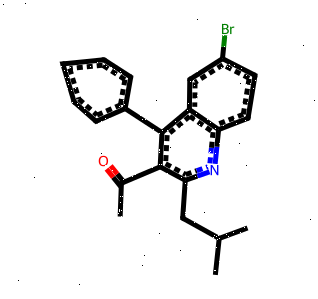 CC(=O)c1c(CC(C)C)nc2ccc(Br)cc2c1-c1ccccc1